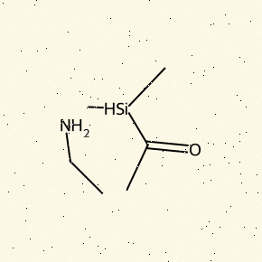 CC(=O)[SiH](C)C.CCN